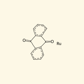 O=C1c2ccccc2C(=O)c2ccccc21.[Ru]